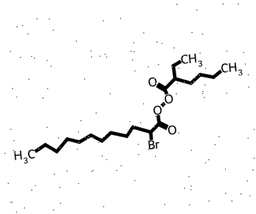 CCCCCCCCCCC(Br)C(=O)OOC(=O)C(CC)CCCC